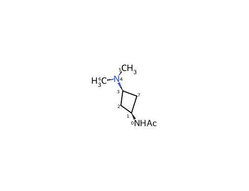 CC(=O)N[C@H]1C[C@@H](N(C)C)C1